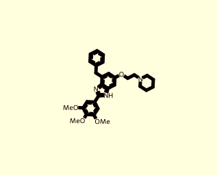 COc1cc(-c2nc3c(Cc4ccccc4)cc(OCCN4CCCCC4)cc3[nH]2)cc(OC)c1OC